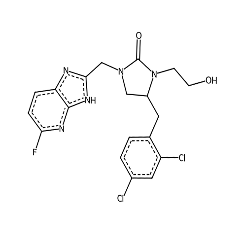 O=C1N(Cc2nc3ccc(F)nc3[nH]2)CC(Cc2ccc(Cl)cc2Cl)N1CCO